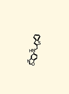 c1ccc2sc(CNc3ccc4ocnc4c3)cc2c1